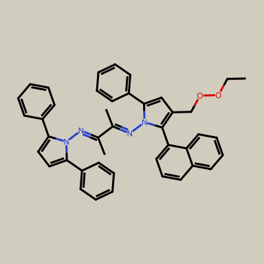 CCOOCc1cc(-c2ccccc2)n(/N=C(C)/C(C)=N/n2c(-c3ccccc3)ccc2-c2ccccc2)c1-c1cccc2ccccc12